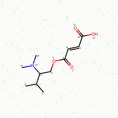 CC(C)C(COC(=O)C=CC(=O)O)N(C)C